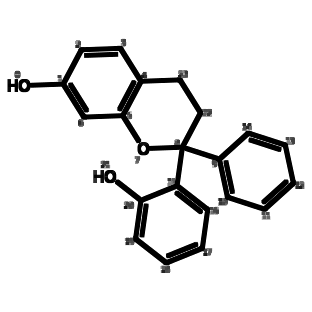 Oc1ccc2c(c1)OC(c1ccccc1)(c1ccccc1O)CC2